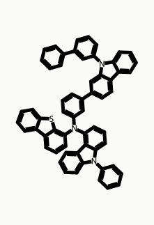 c1ccc(-c2cccc(-n3c4ccccc4c4ccc(-c5cccc(N(c6cccc7c6sc6ccccc67)c6cccc7c6c6ccccc6n7-c6ccccc6)c5)cc43)c2)cc1